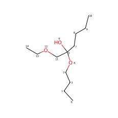 CCCCOC(O)(CCCC)COCC